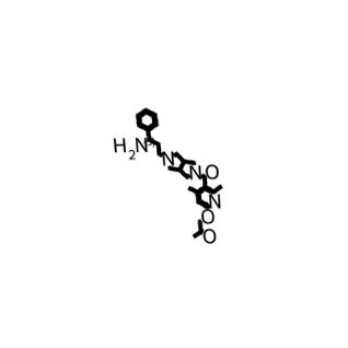 CC(=O)COc1cc(C)c(C(=O)N2CC3CN(CC[C@H](N)c4ccccc4)CC3C2)c(C)n1